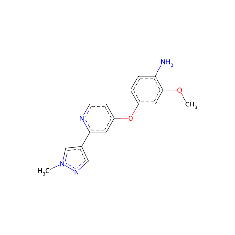 COc1cc(Oc2ccnc(-c3cnn(C)c3)c2)ccc1N